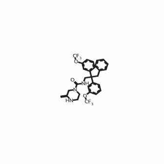 C=C1CN(C(=O)NCC(Cc2ccccc2)(c2cccc(OC(F)(F)F)c2)c2cccc(OC(F)(F)F)c2)CCN1